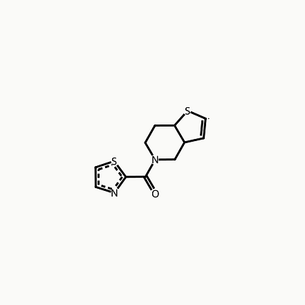 O=C(c1nccs1)N1CCC2S[C]=CC2C1